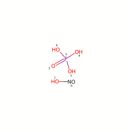 O=NO.O=P(O)(O)O